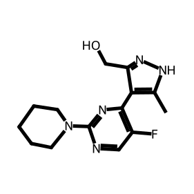 Cc1[nH]nc(CO)c1-c1nc(N2CCCCC2)ncc1F